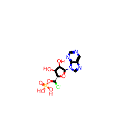 O=P(O)(O)OC(Cl)[C@H]1O[C@@H](n2cnc3cncnc32)[C@H](O)[C@@H]1O